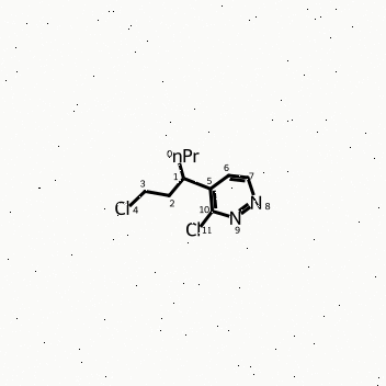 CCCC(CCCl)c1ccnnc1Cl